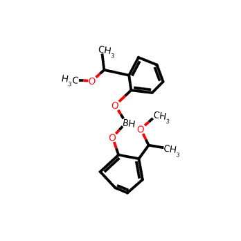 COC(C)c1ccccc1OBOc1ccccc1C(C)OC